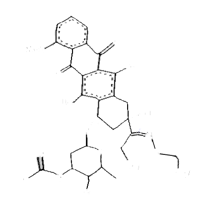 COc1cccc2c1C(=O)c1c(O)c3c(c(O)c1C2=O)C[C@@](O)(/C(CO)=N/OCC(=O)O)C[C@@H]3OC1CC(NC(=O)C(F)(F)F)C(O)C(C)O1